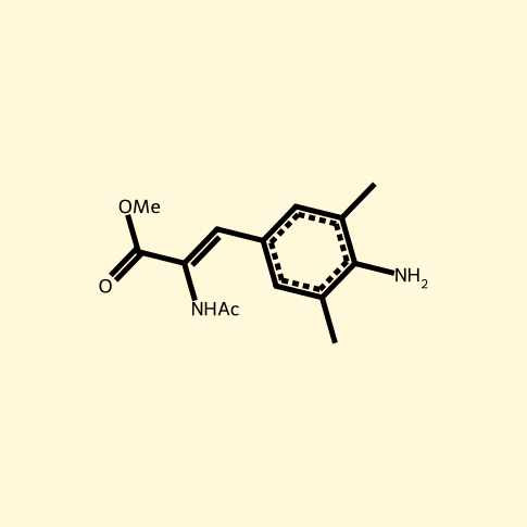 COC(=O)/C(=C/c1cc(C)c(N)c(C)c1)NC(C)=O